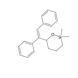 C[Si]1(C)CCCC(/C(=C\c2ccccc2)c2ccccc2)O1